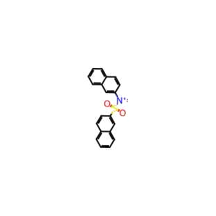 O=S(=O)([N+]c1ccc2ccccc2c1)c1ccc2ccccc2c1